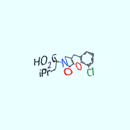 CC(C)C[C@@H](C(=O)O)N1CC2=C(Oc3c(Cl)cccc3C2)C1=O